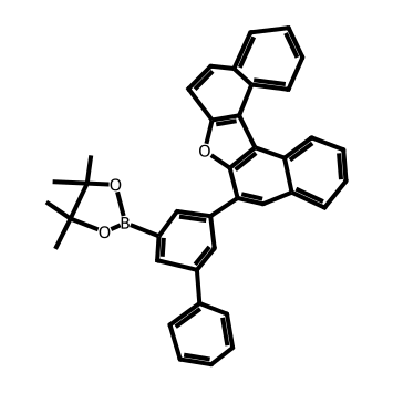 CC1(C)OB(c2cc(-c3ccccc3)cc(-c3cc4ccccc4c4c3oc3ccc5ccccc5c34)c2)OC1(C)C